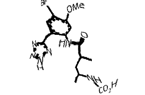 COc1cc(NC(=O)C(C)CC(C)NC(=O)O)c(-c2nn[nH]n2)cc1Br